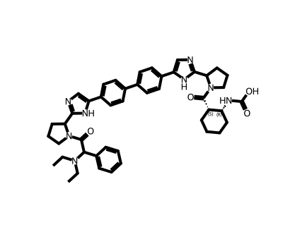 CCN(CC)C(C(=O)N1CCCC1c1ncc(-c2ccc(-c3ccc(-c4cnc(C5CCCN5C(=O)[C@H]5CCCC[C@H]5NC(=O)O)[nH]4)cc3)cc2)[nH]1)c1ccccc1